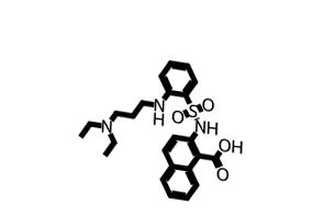 CCN(CC)CCCNc1ccccc1S(=O)(=O)Nc1ccc2ccccc2c1C(=O)O